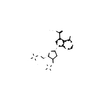 COC(=O)c1cn([C@H]2CC(O[Si](C)(C)C(C)(C)C)[C@@H](CO[Si](C)(C)C(C)(C)C)O2)c2ncnc(Cl)c12